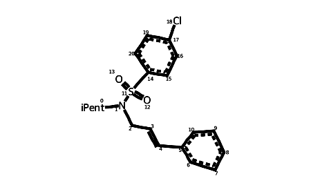 CCCC(C)N(CC=Cc1ccccc1)S(=O)(=O)c1ccc(Cl)cc1